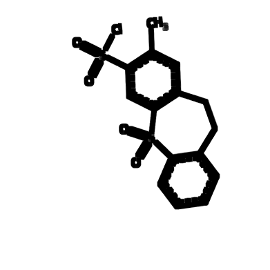 Cc1cc2c(cc1S(=O)(=O)Cl)S(=O)(=O)c1ccccc1CC2